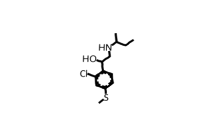 CCC(C)NCC(O)c1ccc(SC)cc1Cl